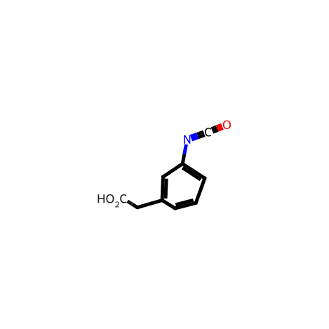 O=C=Nc1cccc(CC(=O)O)c1